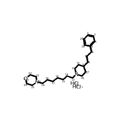 Cl.Cl.c1ccc(CCCC2CCN(CCCCCCCN3CCOCC3)CC2)cc1